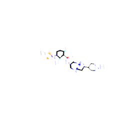 CCCS(=O)(=O)Nc1ccc(F)c(C(=O)Nc2cnc3cc(C4CCNCC4)nn3c2)c1F